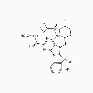 C[C@@H](Nc1nc(C(=N)NC(=O)O)nc2nc(C(C)(O)c3ccccc3F)n(C[C@H]3CC[C@H](C)CC3)c12)C1CCC1